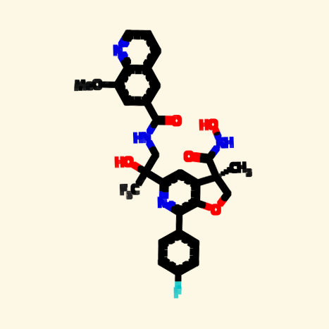 COc1cc(C(=O)NCC(O)(c2cc3c(c(-c4ccc(F)cc4)n2)OC[C@]3(C)C(=O)NO)C(F)(F)F)cc2cccnc12